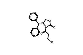 CC(=O)CCC(=O)N1C(=O)OC[C@H]1C(c1ccccc1)c1ccccc1